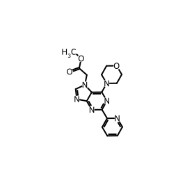 COC(=O)Cn1cnc2nc(-c3ccccn3)nc(N3CCOCC3)c21